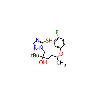 CC(CCC(O)(Cn1ncnc1S)C(C)(C)C)Oc1ccc(F)cc1